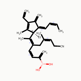 C=CC1=C(C)[C@](CC)(/C(C)=C(/C=C\C(=C)B(O)O)C/C(C)=C\CC#N)/C(=C/C=C\C)C1=C